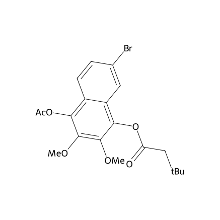 COc1c(OC)c(OC(=O)CC(C)(C)C)c2cc(Br)ccc2c1OC(C)=O